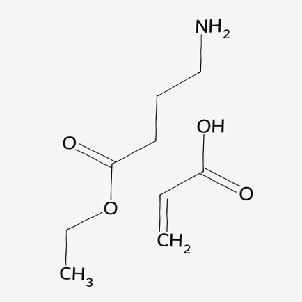 C=CC(=O)O.CCOC(=O)CCCN